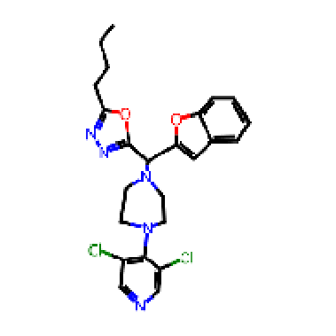 CCCCc1nnc(C(c2cc3ccccc3o2)N2CCN(c3c(Cl)cncc3Cl)CC2)o1